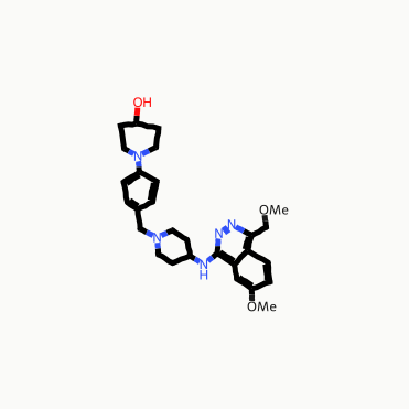 COCc1nnc(NC2CCN(Cc3ccc(N4CCC(O)CC4)cc3)CC2)c2cc(OC)ccc12